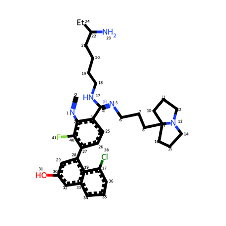 C=Nc1c(/C(=N\CCCC23CCCN2CCC3)NCCCCC(N)CC)ccc(-c2cc(O)cc3cccc(Cl)c23)c1F